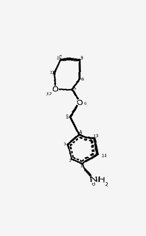 Nc1ccc(COC2CCCCO2)cc1